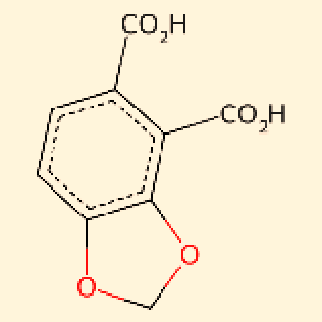 O=C(O)c1ccc2c(c1C(=O)O)OCO2